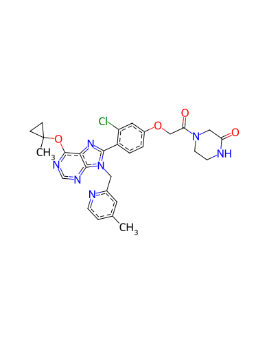 Cc1ccnc(Cn2c(-c3ccc(OCC(=O)N4CCNC(=O)C4)cc3Cl)nc3c(OC4(C)CC4)ncnc32)c1